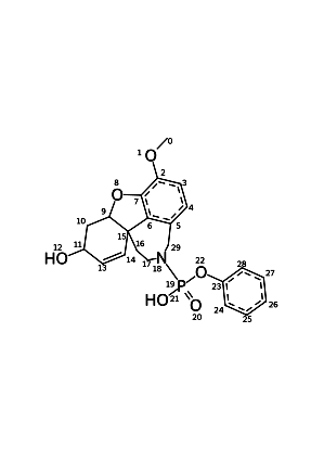 COc1ccc2c3c1OC1CC(O)C=CC31CCN(P(=O)(O)Oc1ccccc1)C2